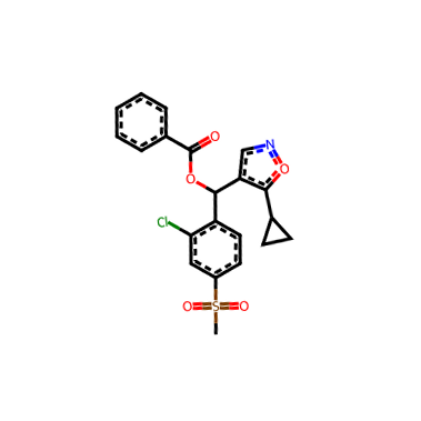 CS(=O)(=O)c1ccc(C(OC(=O)c2ccccc2)c2cnoc2C2CC2)c(Cl)c1